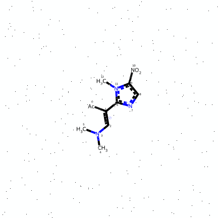 CC(=O)/C(=C\N(C)C)c1ncc([N+](=O)[O-])n1C